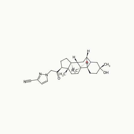 C[C@H]1O[C@@H]2C[C@@H]3C(CC[C@]4(C)[C@@H](C(=O)Cn5ccc(C#N)n5)CC[C@@H]34)[C@]13CC[C@@](C)(O)CC23